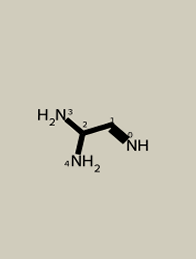 N=CC(N)N